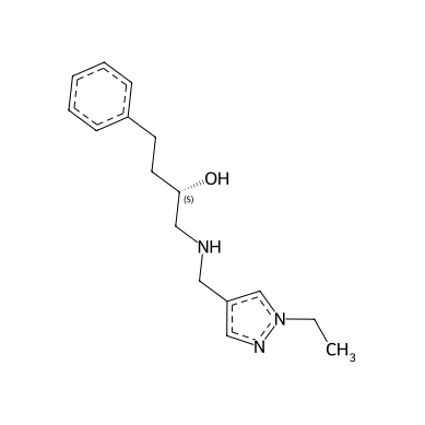 CCn1cc(CNC[C@@H](O)CCc2ccccc2)cn1